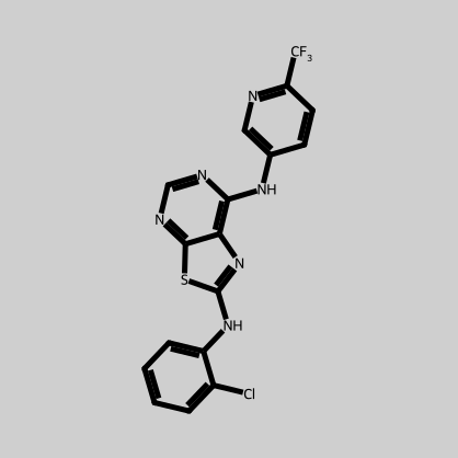 FC(F)(F)c1ccc(Nc2ncnc3sc(Nc4ccccc4Cl)nc23)cn1